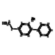 O=C(O)Cc1ccc(-c2ccccc2)cc1.[Zn]